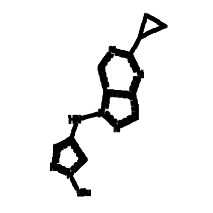 CC(C)(C)n1cc(Nn2ncc3nc(C4CC4)ncc32)cn1